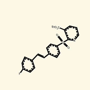 CCOC(=O)c1cccnc1S(=O)(=O)c1ccc(C=Cc2ccc(F)cc2)cc1